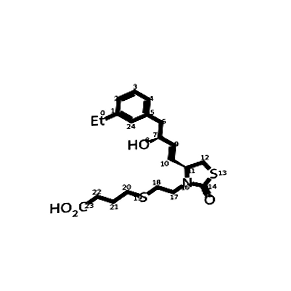 CCc1cccc(C[C@H](O)C=C[C@H]2CSC(=O)N2CCSCCCC(=O)O)c1